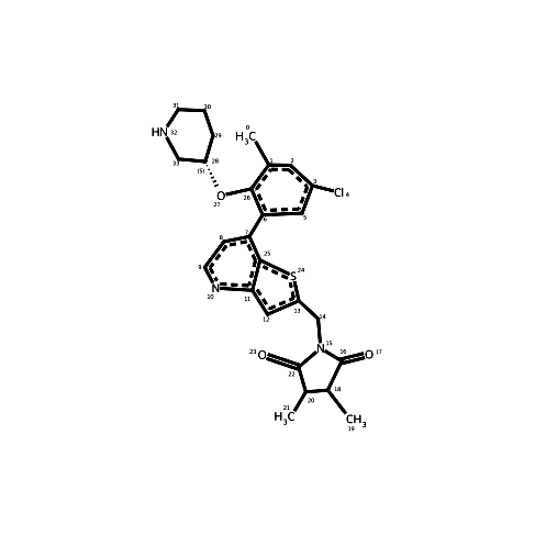 Cc1cc(Cl)cc(-c2ccnc3cc(CN4C(=O)C(C)C(C)C4=O)sc23)c1O[C@H]1CCCNC1